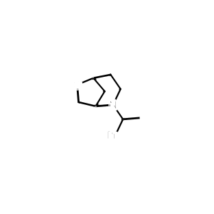 CC(C)C(C)N1CCC2CC1CO2